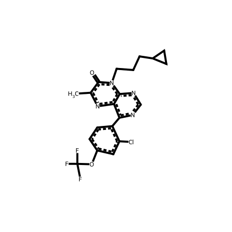 Cc1nc2c(-c3ccc(OC(F)(F)F)cc3Cl)ncnc2n(CCCC2CC2)c1=O